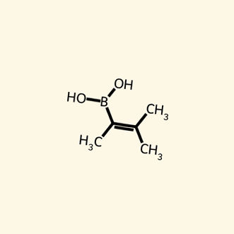 CC(C)=C(C)B(O)O